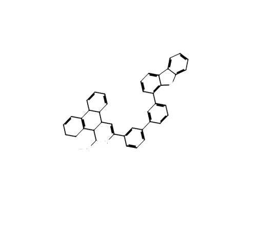 CCC1C2=C(C=CCC2)C2C=CC=CC2C1/C=C(\N)c1cccc(-c2cccc(-c3cccc4c3sc3ccccc34)c2)c1